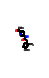 COC(=O)c1ccc(NC(=O)Cc2ccc(OC)cc2C(F)(F)F)cn1